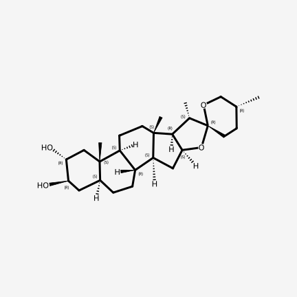 C[C@@H]1CC[C@@]2(OC1)O[C@H]1C[C@H]3[C@@H]4CC[C@H]5C[C@@H](O)[C@H](O)C[C@]5(C)[C@H]4CC[C@]3(C)[C@H]1[C@@H]2C